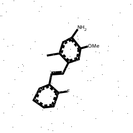 COc1cc(/C=C/c2ccccc2F)c(C)cc1N